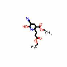 CCOC(=O)CCc1nc(O)c(C#N)cc1C(=O)OCC